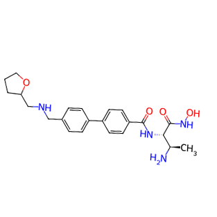 C[C@@H](N)[C@H](NC(=O)c1ccc(-c2ccc(CNCC3CCCO3)cc2)cc1)C(=O)NO